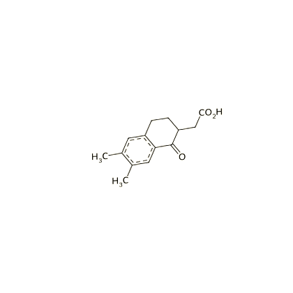 Cc1cc2c(cc1C)C(=O)C(CC(=O)O)CC2